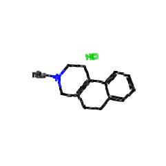 CCCCN1CCC2=C(CCc3ccccc32)C1.Cl